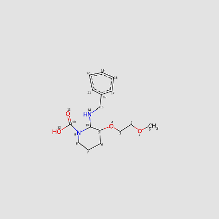 COCCOC1CCCN(C(=O)O)C1NCc1ccccc1